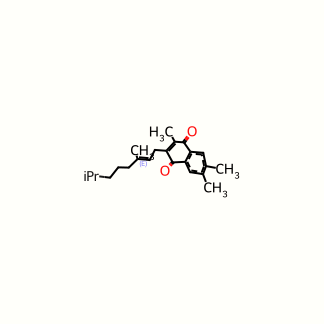 CC1=C(C/C=C(\C)CCCC(C)C)C(=O)c2cc(C)c(C)cc2C1=O